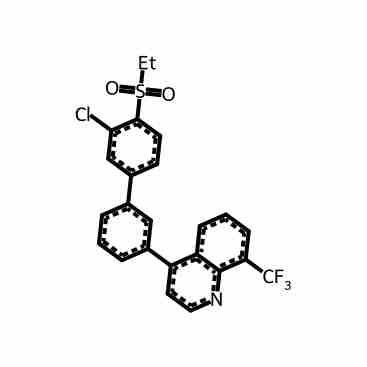 CCS(=O)(=O)c1ccc(-c2cccc(-c3ccnc4c(C(F)(F)F)cccc34)c2)cc1Cl